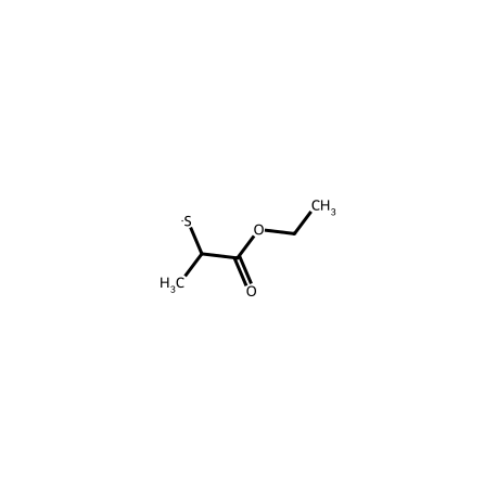 CCOC(=O)C(C)[S]